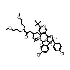 CCOc1cc(C(C)(C)C)ncc1C1=N[C@@](C)(c2ccc(Cl)cc2)[C@@](C)(c2ccc(Cl)cc2)N1C(=O)N1CCC(CC(=O)N(CCCOC)CCCOC)CC1